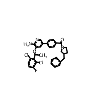 CC(Oc1cc(-c2ccc(C(=O)N3CCC(Cc4ccccc4)C3)cc2)cnc1N)c1c(Cl)ccc(F)c1Cl